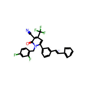 N#Cc1c(C(F)(F)F)cc(-c2cccc(/C=C/c3ccccc3)c2)n(Cc2ccc(F)cc2F)c1=O